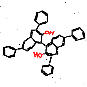 Oc1c(-c2ccccc2)cc2cc(-c3ccccc3)ccc2c1-c1c(O)c(-c2ccccc2)cc2cc(-c3ccccc3)ccc12